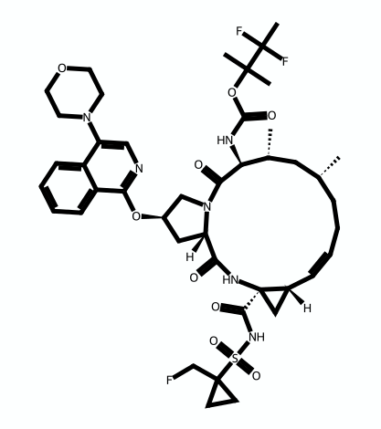 C[C@@H]1CC/C=C\[C@@H]2C[C@@]2(C(=O)NS(=O)(=O)C2(CF)CC2)NC(=O)[C@@H]2C[C@@H](Oc3ncc(N4CCOCC4)c4ccccc34)CN2C(=O)[C@@H](NC(=O)OC(C)(C)C(C)(F)F)[C@H](C)C1